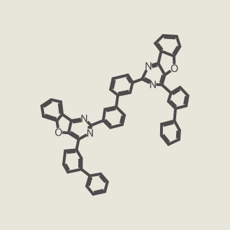 c1ccc(-c2cccc(-c3nc(-c4cccc(-c5cccc(-c6nc(-c7cccc(-c8ccccc8)c7)c7oc8ccccc8c7n6)c5)c4)nc4c3oc3ccccc34)c2)cc1